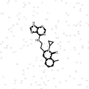 Cc1cccc2cc(CCNc3ncnc4[nH]cnc34)n(C3CC3)c(=O)c12